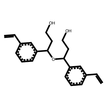 C=Cc1cccc(C(CCO)OC(CCO)c2cccc(C=C)c2)c1